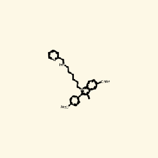 COc1ccc(-c2c(C)c3cc(OC)ccc3n2CCCCCCNCc2ccccn2)cc1